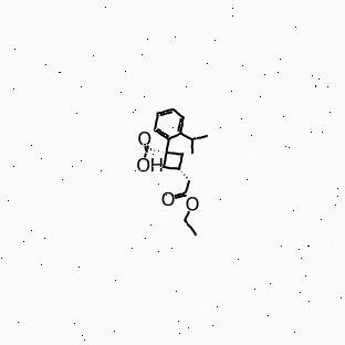 CCOC(=O)C[C@H]1C[C@](C(=O)O)(c2ccccc2C(C)C)C1